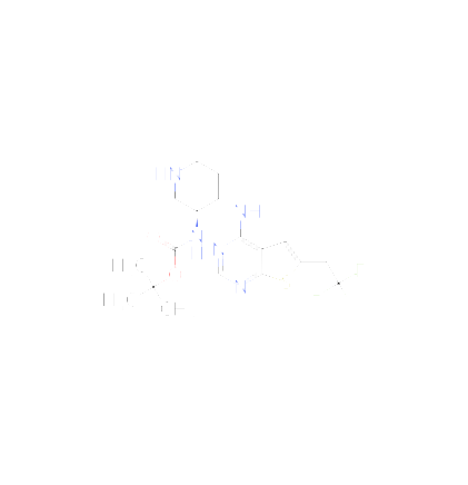 CC(C)(C)OC(=O)N[C@H]1CNCC[C@@H]1Nc1ncnc2sc(CC(F)(F)F)cc12